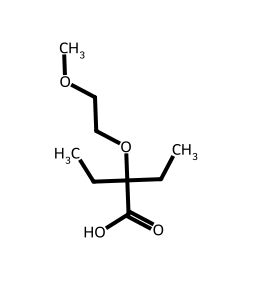 CCC(CC)(OCCOC)C(=O)O